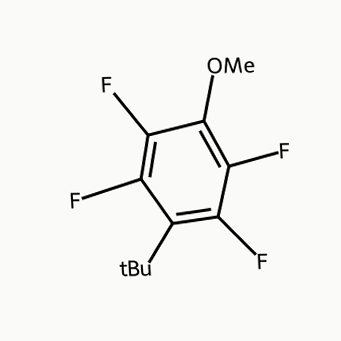 COc1c(F)c(F)c(C(C)(C)C)c(F)c1F